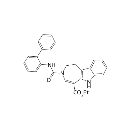 CCOC(=O)C1=CN(C(=O)Nc2ccccc2-c2ccccc2)CCc2c1[nH]c1ccccc21